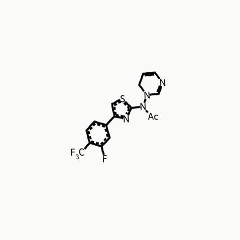 CC(=O)N(c1nc(-c2ccc(C(F)(F)F)c(F)c2)cs1)N1C=NC=CC1